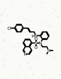 CN(C)CCN(c1ccccc1NCC=Cc1ccc(Cl)cc1)S(=O)(=O)c1cccc2cnccc12